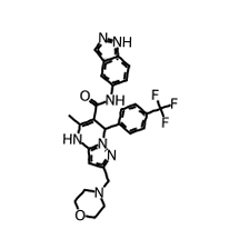 CC1=C(C(=O)Nc2ccc3[nH]ncc3c2)C(c2ccc(C(F)(F)F)cc2)n2nc(CN3CCOCC3)cc2N1